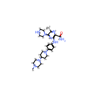 CC(C)c1nc(C(N)=O)c(Nc2ccc(N3CCC(N4CCN(C)CC4)CC3)cc2)nc1N1CCNCC1